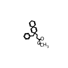 COC(=O)CCC1(Cc2ccccc2)C=CC2(C=CCC=C2)C=C1